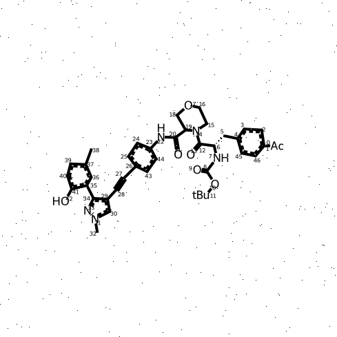 CC(=O)c1ccc(C[C@H](NC(=O)OC(C)(C)C)C(=O)N2CCOCC2C(=O)Nc2ccc(C#Cc3cn(C)nc3-c3cc(C)ccc3O)cc2)cc1